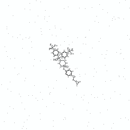 [O-][N+]1(Cc2ccc(OCC3CC3)cc2)CCC(C(O)(c2ccc(C(F)(F)F)cc2)c2ccc(C(F)(F)F)cc2)CC1